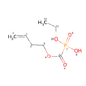 C=CCCOC(=O)P(=O)(O)OCC